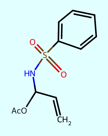 C=CC(NS(=O)(=O)c1ccccc1)OC(C)=O